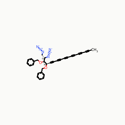 CC#CC#CC#CC#CC#CC#C[C@@H](OCc1ccccc1)[C@@H](OCc1ccccc1)[C@H](CN=[N+]=[N-])N=[N+]=[N-]